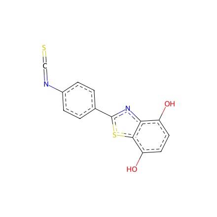 Oc1ccc(O)c2sc(-c3ccc(N=C=S)cc3)nc12